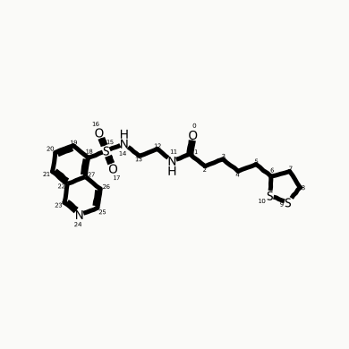 O=C(CCCCC1CCSS1)NCCNS(=O)(=O)c1cccc2cnccc12